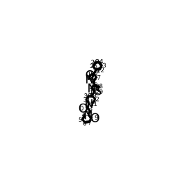 O=C(Cn1ccccc1=O)N1CCC(c2nc(C3=NOC(c4ccccc4)C3)cs2)CC1